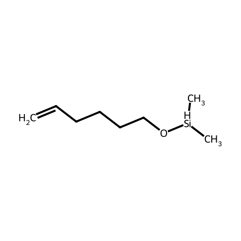 C=CCCCCO[SiH](C)C